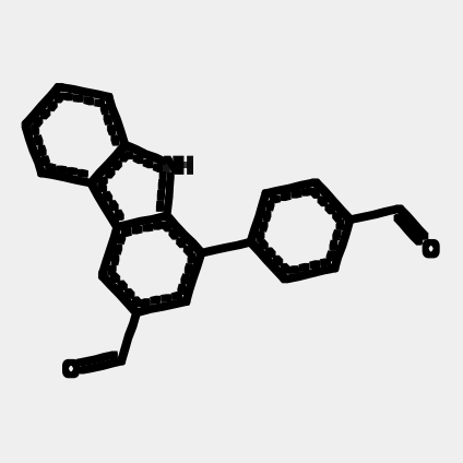 O=Cc1ccc(-c2cc(C=O)cc3c2[nH]c2ccccc23)cc1